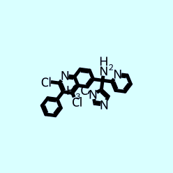 Cn1cncc1C(N)(c1ccc2nc(Cl)c(-c3ccccc3)c(Cl)c2c1)c1ccccn1